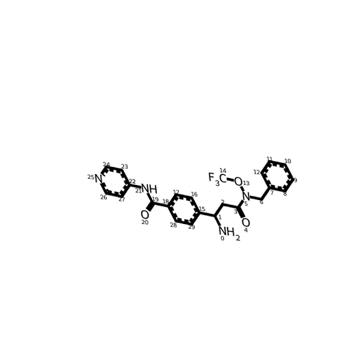 NC(CC(=O)N(Cc1ccccc1)OC(F)(F)F)c1ccc(C(=O)Nc2ccncc2)cc1